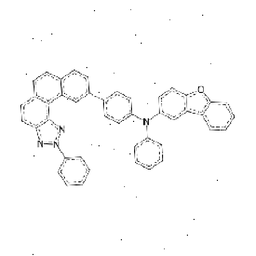 c1ccc(N(c2ccc(-c3ccc4ccc5ccc6nn(-c7ccccc7)nc6c5c4c3)cc2)c2ccc3oc4ccccc4c3c2)cc1